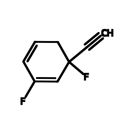 C#CC1(F)C=C(F)C=CC1